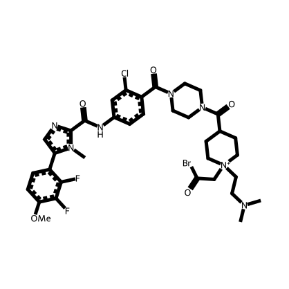 COc1ccc(-c2cnc(C(=O)Nc3ccc(C(=O)N4CCN(C(=O)C5CC[N+](CCN(C)C)(CC(=O)Br)CC5)CC4)c(Cl)c3)n2C)c(F)c1F